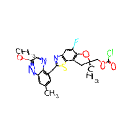 COc1cnc2c(-c3nc4cc(F)c5c(c4s3)C[C@@](C)(COC(=O)Cl)O5)cc(C)cc2n1